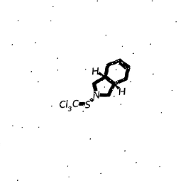 ClC(Cl)(Cl)SN1C[C@H]2CC=CC[C@H]2C1